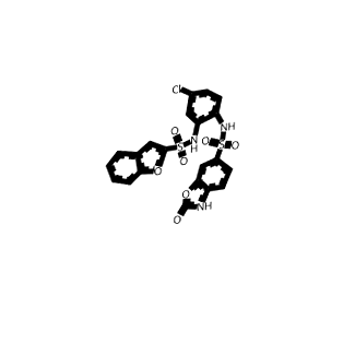 O=c1[nH]c2ccc(S(=O)(=O)Nc3ccc(Cl)cc3NS(=O)(=O)c3cc4ccccc4o3)cc2o1